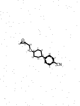 N#Cc1ccc(C2CCC(OCC3CO3)CC2)cc1